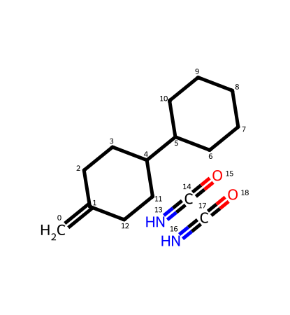 C=C1CCC(C2CCCCC2)CC1.N=C=O.N=C=O